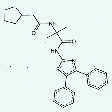 CC(C)(NC(=O)CC1CCCC1)C(=O)Nc1nc(-c2ccccc2)c(-c2ccccc2)s1